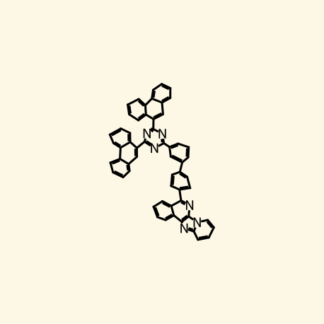 c1cc(-c2ccc(-c3nc4c(nc5ccccn54)c4ccccc34)cc2)cc(-c2nc(-c3cc4ccccc4c4ccccc34)nc(-c3cc4ccccc4c4ccccc34)n2)c1